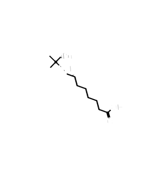 CCC(C)C(C)(C)N.CCCCCCCC(=O)O